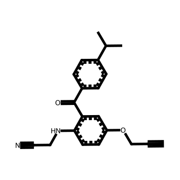 C#CCOc1ccc(NCC#N)c(C(=O)c2ccc(C(C)C)cc2)c1